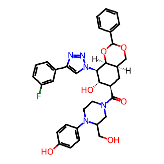 O=C([C@@H]1C[C@@H]2COC(c3ccccc3)O[C@@H]2[C@H](n2cc(-c3cccc(F)c3)nn2)[C@H]1O)N1CCN(c2ccc(O)cc2)C(CO)C1